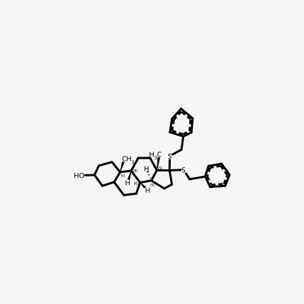 C[C@]12CCC(O)CC1CC[C@@H]1[C@H]2CC[C@@]2(C)[C@H]1CCC2(SCc1ccccc1)SCc1ccccc1